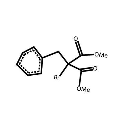 COC(=O)C(Br)(Cc1ccccc1)C(=O)OC